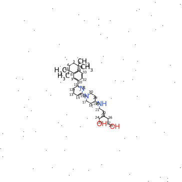 CC1(C)CCC(C)(C)c2cc(-c3cccc(N4CCC(NCCC(CO)CCO)CC4)n3)ccc21